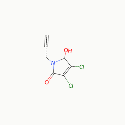 C#CCN1C(=O)C(Cl)=C(Cl)C1O